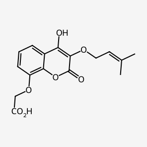 CC(C)=CCOc1c(O)c2cccc(OCC(=O)O)c2oc1=O